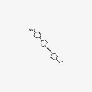 CCCCc1ccc(C2CC=C(C#Cc3ccc(CCC)cc3)CC2)cc1